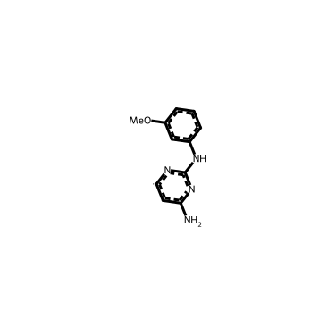 COc1cccc(Nc2n[c]cc(N)n2)c1